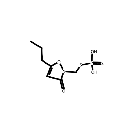 CCCc1cc(=O)n(CSP(O)(O)=S)o1